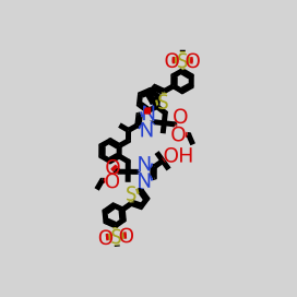 CCOC(=O)C(C)(Cc1ccccc1)c1nc(C(C)Cc2ccccc2CC(C)(C(=O)OCC)c2nc(C(C)(C)O)cn2-c2ccc(-c3cccc(S(C)(=O)=O)c3)s2)cn1-c1ccc(-c2cccc(S(C)(=O)=O)c2)s1